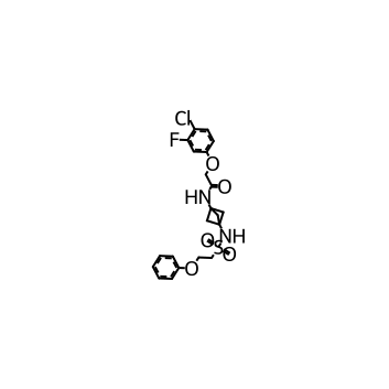 O=C(COc1ccc(Cl)c(F)c1)NC12CC(NS(=O)(=O)CCOc3ccccc3)(C1)C2